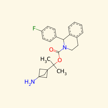 CC(C)(OC(=O)N1CCc2ccccc2C1c1ccc(F)cc1)C12CC(N)(C1)C2